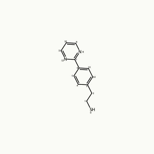 SCCc1ccc(-c2ncccn2)cc1